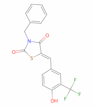 O=C1S/C(=C\c2ccc(O)c(C(F)(F)F)c2)C(=O)N1Cc1ccccc1